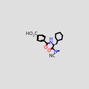 CN(C#N)C(=O)[C@H](CC1CCCCC1)NC(=O)c1ccc(C(=O)O)cc1